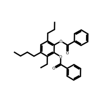 CCCCc1cc(CCC)c(OC(=O)c2ccccc2)c(OC(=O)c2ccccc2)c1CC